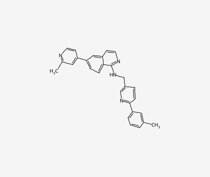 Cc1cccc(-c2ccc(CNc3nccc4cc(-c5ccnc(C)c5)ccc34)cn2)c1